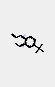 C=C/C=c1/ccc(C(C)(C)C)c/c1=C/C